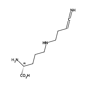 N=C=CCCNCCC[C@@H](N)C(=O)O